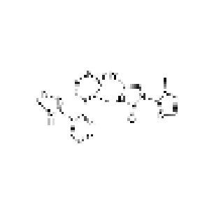 CCCc1cn(-c2nccn2C)c(=O)n1Cc1cnccc1-c1ccccc1-c1nnn[nH]1